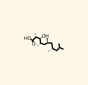 CC(C)C[C@H](C)C[C@H](C)C[C@H](C)[C@@H](O)[C@@H](C)C(=O)O